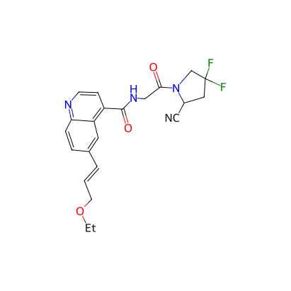 CCOCC=Cc1ccc2nccc(C(=O)NCC(=O)N3CC(F)(F)CC3C#N)c2c1